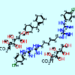 CC(c1ccccc1)c1ccccc1.N=C(NCCCCCCNC(=N)NC(=N)Nc1ccc(Cl)cc1)NC(=N)Nc1ccc(Cl)cc1.O=C(O)[C@H](O)[C@@H](O)[C@H](O)[C@H](O)CO.O=C(O)[C@H](O)[C@@H](O)[C@H](O)[C@H](O)CO